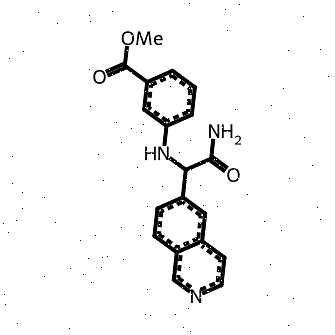 COC(=O)c1cccc(NC(C(N)=O)c2ccc3cnccc3c2)c1